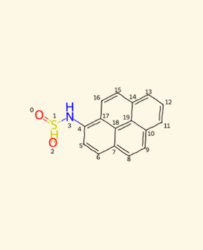 O=[SH](=O)Nc1ccc2ccc3cccc4ccc1c2c34